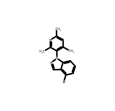 Cc1cc(C)c(-n2ncc3c(Br)cccc32)c(C)n1